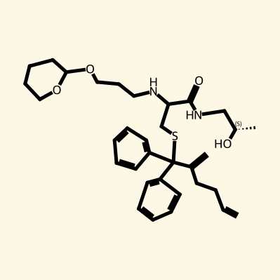 C=CCCC(=C)C(SCC(NCCCOC1CCCCO1)C(=O)NC[C@H](C)O)(c1ccccc1)c1ccccc1